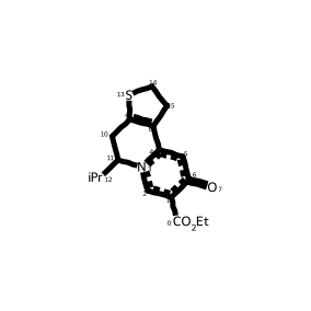 CCOC(=O)c1cn2c(cc1=O)C1=C(CC2C(C)C)SCC1